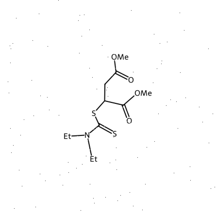 CCN(CC)C(=S)SC(CC(=O)OC)C(=O)OC